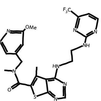 COc1cc(CN(C)C(=O)c2sc3ncnc(NCCNc4nccc(C(F)(F)F)n4)c3c2C)ccn1